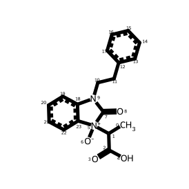 CC(C(=O)O)[N+]1([O-])C(=O)N(CCc2ccccc2)c2ccccc21